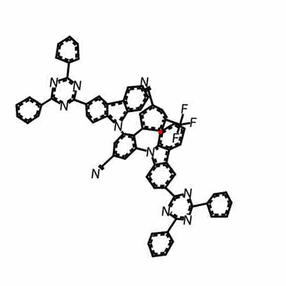 N#Cc1cc(-c2c(-n3c4ccccc4c4cc(-c5nc(-c6ccccc6)nc(-c6ccccc6)n5)ccc43)cc(C#N)cc2-n2c3ccccc3c3cc(-c4nc(-c5ccccc5)nc(-c5ccccc5)n4)ccc32)cc(C(F)(F)F)c1